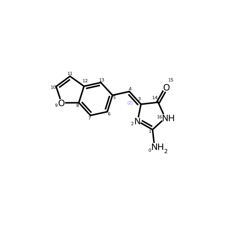 NC1=N/C(=C\c2ccc3occc3c2)C(=O)N1